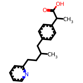 CC(CCc1ccccn1)Cc1ccc(C(C)C(=O)O)cc1